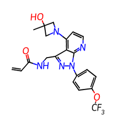 C=CC(=O)NCc1nn(-c2ccc(OC(F)(F)F)cc2)c2nccc(N3CC(C)(O)C3)c12